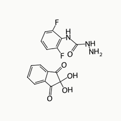 NNC(=O)Nc1c(F)cccc1F.O=C1c2ccccc2C(=O)C1(O)O